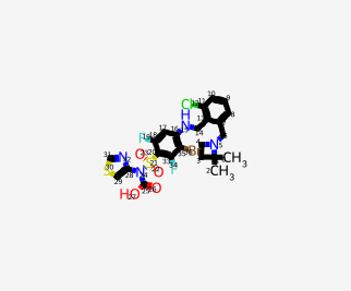 CC1(C)CCN1Cc1cccc(Cl)c1CNc1cc(F)c(S(=O)(=O)N(C(=O)O)c2cscn2)c(F)c1Br